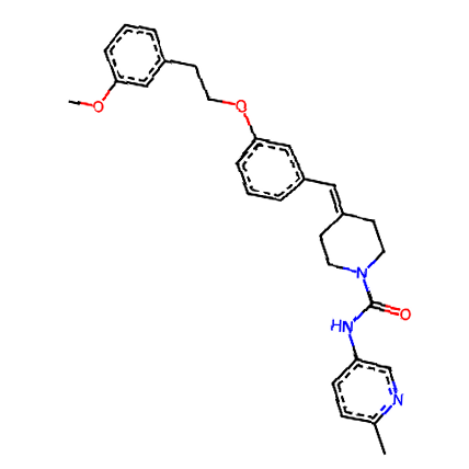 COc1cccc(CCOc2cccc(C=C3CCN(C(=O)Nc4ccc(C)nc4)CC3)c2)c1